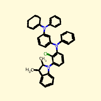 CC1c2ccccc2N(c2cccc(N(c3ccccc3)c3cccc(N(C4=CCCCC4)c4ccccc4)c3)c2Cl)C1C